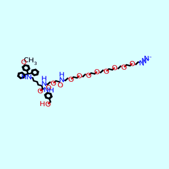 COc1ccc(C(NCCCCC(NC(=O)COCC(=O)NCCOCCOCCOCCOCCOCCOCCOCCOCCN=[N+]=[N-])C(=O)Nc2ccc(CO)cc2)(c2ccccc2)c2ccccc2)cc1